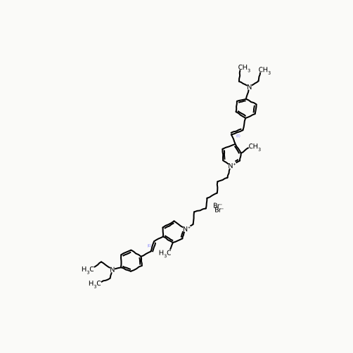 CCN(CC)c1ccc(/C=C/c2cc[n+](CCCCCCC[n+]3ccc(/C=C/c4ccc(N(CC)CC)cc4)c(C)c3)cc2C)cc1.[Br-].[Br-]